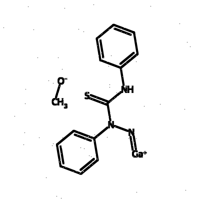 C[O-].S=C(Nc1ccccc1)N([N]=[Ga+])c1ccccc1